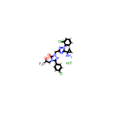 Cl.NC1(c2nc(Cn3nc(-c4ccc(Cl)cc4)n(CC(O)C(F)(F)F)c3=O)nn2-c2ccccc2Cl)CC1